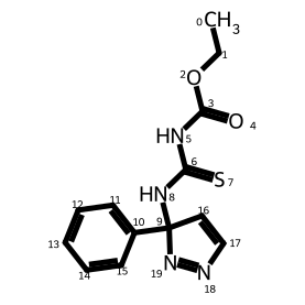 CCOC(=O)NC(=S)NC1(c2ccccc2)C=CN=N1